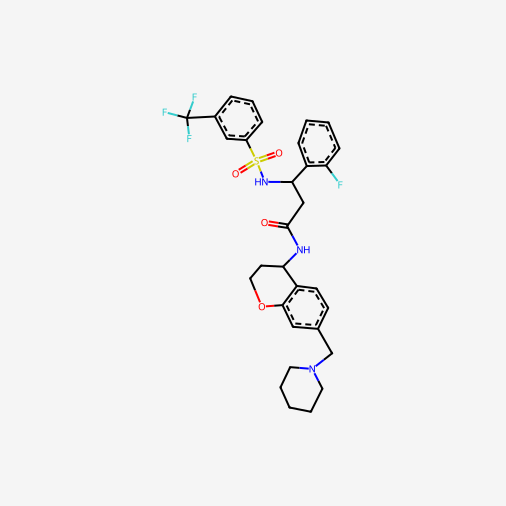 O=C(CC(NS(=O)(=O)c1cccc(C(F)(F)F)c1)c1ccccc1F)NC1CCOc2cc(CN3CCCCC3)ccc21